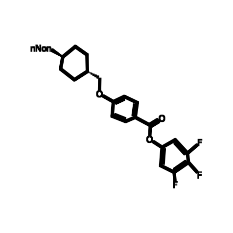 CCCCCCCCC[C@H]1CC[C@H](COc2ccc(C(=O)Oc3cc(F)c(F)c(F)c3)cc2)CC1